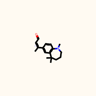 C/C(=C/C=O)c1ccc2c(c1)C(C)(C)CCCN2C